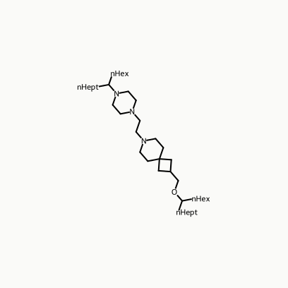 CCCCCCCC(CCCCCC)OCC1CC2(CCN(CCN3CCN(C(CCCCCC)CCCCCCC)CC3)CC2)C1